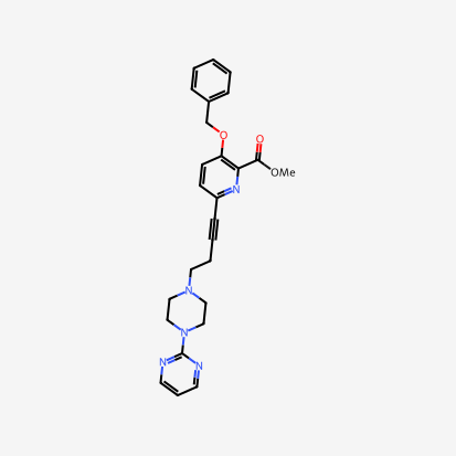 COC(=O)c1nc(C#CCCN2CCN(c3ncccn3)CC2)ccc1OCc1ccccc1